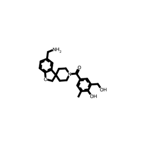 Cc1cc(C(=O)N2CCC3(CC2)COc2ccc(CN)cc23)cc(CO)c1O